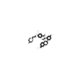 CCN(c1cc(OC)ccc1[C@@H]1CCc2cc(O)ccc2C1)C(C)c1ccc(OCCN2CCC(C)CC2)c(F)c1